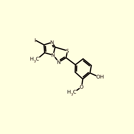 COc1cc(-c2nn3c(C)c(I)nc3s2)ccc1O